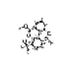 COC(=O)c1ccccc1-c1nc(S(C)(=O)=O)ncc1C(F)F